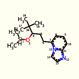 C[SiH](C)OC(CCc1cccc2nccn12)C(C)(C)C